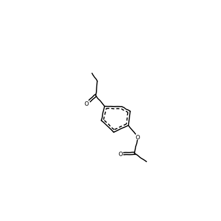 CCC(=O)c1ccc(OC(C)=O)cc1